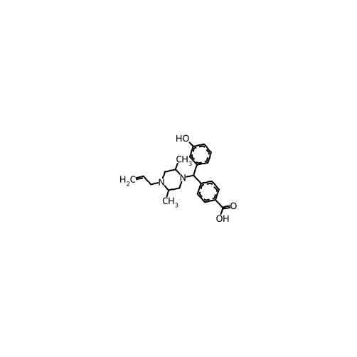 C=CCN1CC(C)N(C(c2ccc(C(=O)O)cc2)c2cccc(O)c2)CC1C